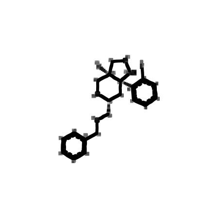 Fc1ccccc1[C@]12C[C@H](COCc3ccccc3)OC[C@H]1CON2